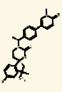 C[C@@H](c1ccc(-c2ccc(=O)n(C)c2)cc1)N1CC[C@](CC(C)(C)N)(c2ccc(F)cc2)OC1=O